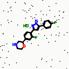 Cl.Fc1ccc(-c2cc(-c3ccc([C@@H]4CNCCO4)cc3F)n[nH]2)cc1